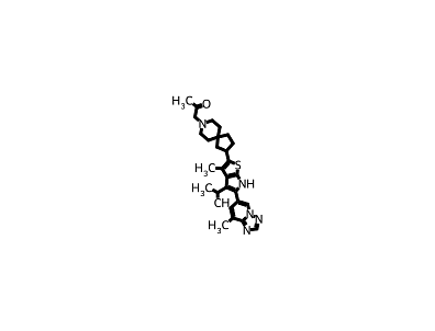 CC(=O)CN1CCC2(CCC(c3sc4[nH]c(-c5cc(C)c6ncnn6c5)c(C(C)C)c4c3C)C2)CC1